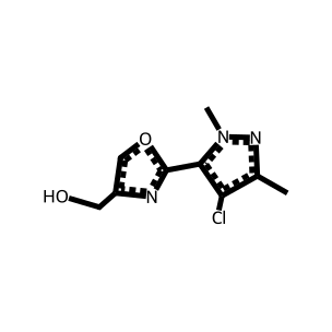 Cc1nn(C)c(-c2nc(CO)co2)c1Cl